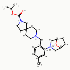 O=C(OC(C(F)(F)F)C(F)(F)F)N1CCC2(CCN(Cc3ccc(C(F)(F)F)cc3N3CC4CCC(C3)O4)CC2)C1